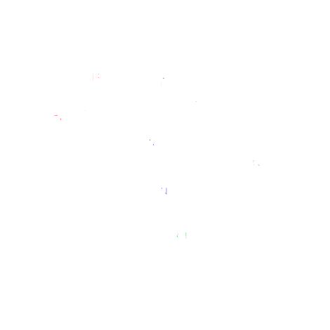 CN(C)c1cc(-n2cc(C(=O)O)c(=O)c3cc(F)c(Cl)nc32)c(F)cc1F